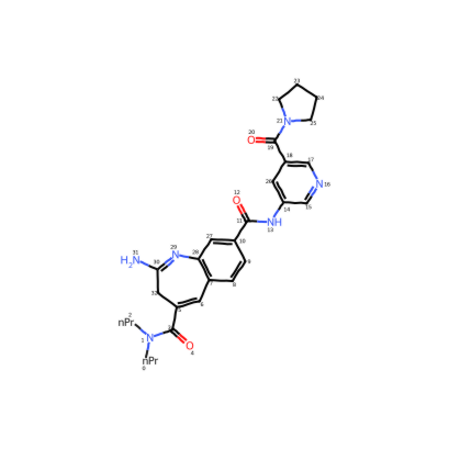 CCCN(CCC)C(=O)C1=Cc2ccc(C(=O)Nc3cncc(C(=O)N4CCCC4)c3)cc2N=C(N)C1